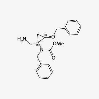 COC(=O)N(Cc1ccccc1)[C@@]1(CN)C[C@H]1OCc1ccccc1